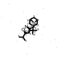 CC(C)c1cc(CN2C3CC2CN(C(C)(C)C)C3)no1